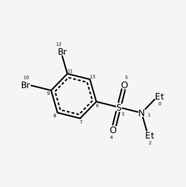 CCN(CC)S(=O)(=O)c1ccc(Br)c(Br)c1